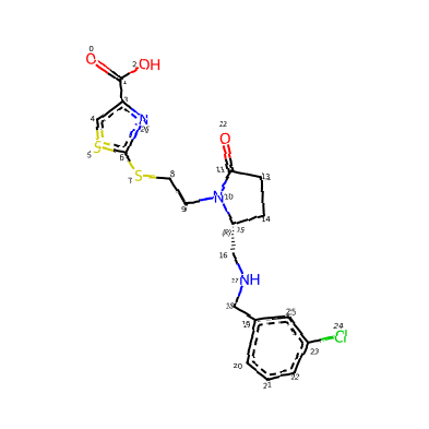 O=C(O)c1csc(SCCN2C(=O)CC[C@@H]2CNCc2cccc(Cl)c2)n1